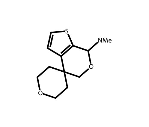 CNC1OCC2(CCOCC2)c2ccsc21